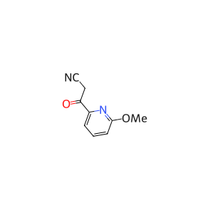 COc1cccc(C(=O)CC#N)n1